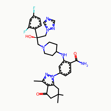 Cc1nn(-c2ccc(C(N)=O)c(NC3CCN(C[C@@](O)(Cn4cncn4)c4ccc(F)cc4F)CC3)c2)c2c1C(=O)CC(C)(C)C2